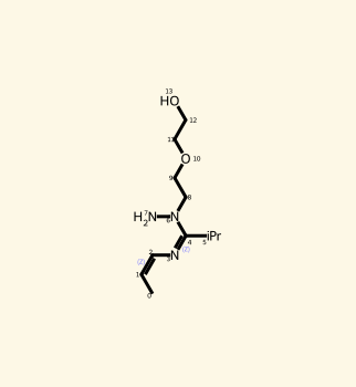 C/C=C\N=C(\C(C)C)N(N)CCOCCO